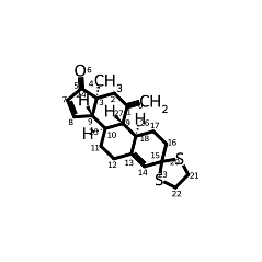 C=C1C[C@]2(C)C(=O)C=C[C@H]2[C@@H]2CCC3=CC4(CC[C@@H]3[C@@H]12)SCCS4